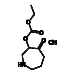 CCOC(=O)OC1CNCCCC1=O.Cl